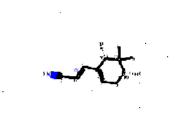 C[C@@H]1CC=C(/C=C/C#N)[C@H](C)C1(C)C